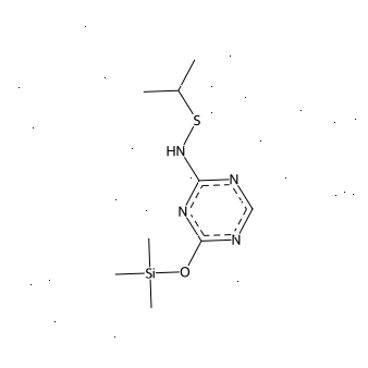 CC(C)SNc1ncnc(O[Si](C)(C)C)n1